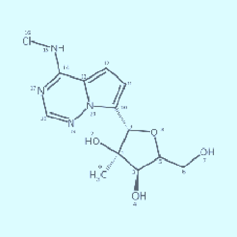 C[C@@]1(O)[C@H](O)C(CO)O[C@H]1c1ccc2c(NCl)ncnn12